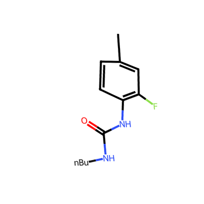 CCCCNC(=O)Nc1ccc(C)cc1F